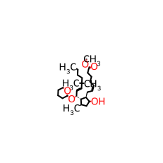 CCCCC(C)(C)/C=C/[C@H](OC1CCCCO1)[C@H]1[C@H](C)CC(O)[C@@H]1C/C=C\CCCC(=O)OC